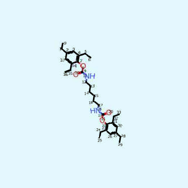 CCc1cc(CC)c(OC(=O)NCCCCCCNC(=O)Oc2c(CC)cc(CC)cc2CC)c(CC)c1